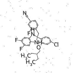 CCC(CC)COc1cc(Cl)ccc1C1(Cc2ccc(C#N)cc2F)Nc2cc(F)c(F)cc2N1